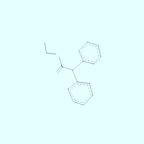 [CH2]COC(=O)C(c1ccccc1)c1ccccc1